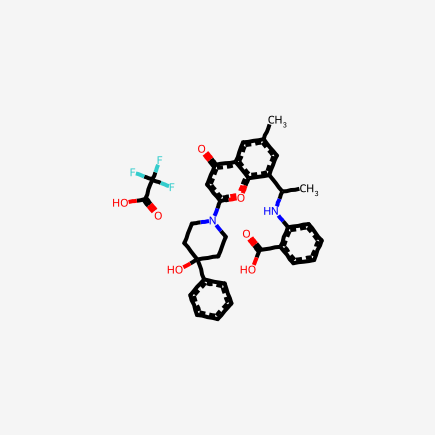 Cc1cc(C(C)Nc2ccccc2C(=O)O)c2oc(N3CCC(O)(c4ccccc4)CC3)cc(=O)c2c1.O=C(O)C(F)(F)F